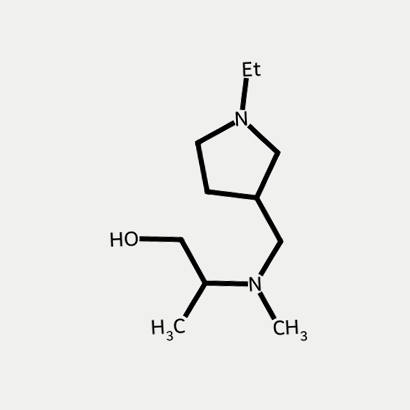 CCN1CCC(CN(C)C(C)CO)C1